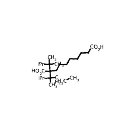 CC.CC(C)C(C)(C)C(CCCCCCCC(=O)O)(C(=O)O)C(C)(C)C(C)C